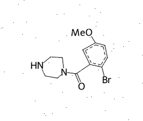 COc1ccc(Br)c(C(=O)N2CCNCC2)c1